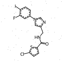 O=C(NCc1cn(-c2ccc(I)c(F)c2)cn1)c1ccc(Cl)s1